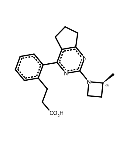 C[C@H]1CCN1c1nc2c(c(-c3ccccc3CCC(=O)O)n1)CCC2